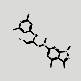 Cc1nn(C)c2nc(N(C)N/C(=C/C#N)Nc3cc(Cl)nc(Cl)c3)cc(C(C)C)c12